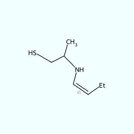 CC/C=C\NC(C)CS